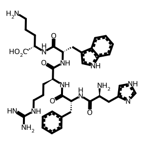 N=C(N)NCCC[C@H](NC(=O)[C@@H](Cc1ccccc1)NC(=O)[C@@H](N)Cc1c[nH]cn1)C(=O)N[C@@H](Cc1c[nH]c2ccccc12)C(=O)N[C@@H](CCCN)C(=O)O